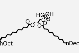 CCCCCCCC/C=C\CCCCCCCCCC(=O)OC[C@H](COP(=O)(O)O)OC(=O)CCCCCCCCCCCCCCCCCCC